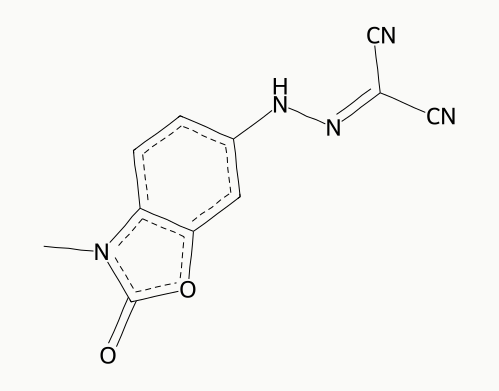 Cn1c(=O)oc2cc(NN=C(C#N)C#N)ccc21